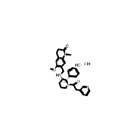 COc1cc2c(cc1CN[C@H]1CCCN(C(=O)Cc3cccnc3)[C@H]1c1ccccc1)N(C)C(=O)CC2.Cl.Cl